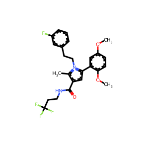 COc1ccc(OC)c(-c2cc(C(=O)NCCC(F)(F)F)c(C)n2CCc2cccc(F)c2)c1